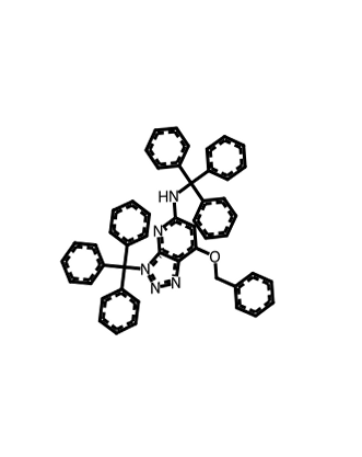 c1ccc(COc2cc(NC(c3ccccc3)(c3ccccc3)c3ccccc3)nc3c2nnn3C(c2ccccc2)(c2ccccc2)c2ccccc2)cc1